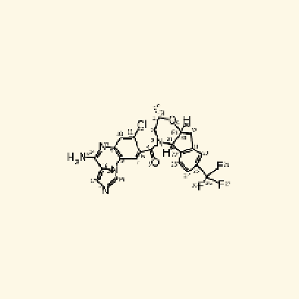 C[C@H]1CN(C(=O)c2cc3c(cc2Cl)nc(N)c2cncn23)[C@H]2c3ccc(C(F)(F)F)cc3C[C@H]2O1